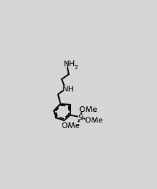 CO[Si](OC)(OC)c1cccc(CNCCN)c1